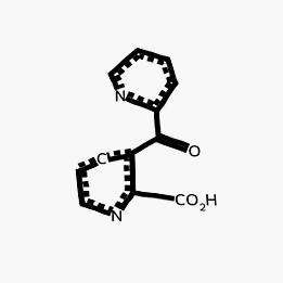 O=C(c1ccccn1)c1cccnc1C(=O)O